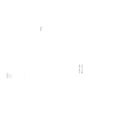 Cc1c(F)cc(C(C)NC2CC2)cc1Br